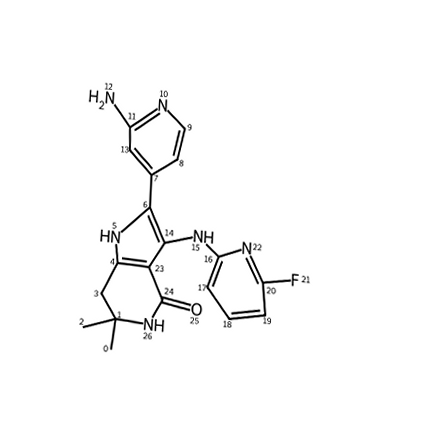 CC1(C)Cc2[nH]c(-c3ccnc(N)c3)c(Nc3cccc(F)n3)c2C(=O)N1